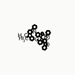 CC1(C)c2ccccc2-c2c1ccc1c3ccccc3n(-c3ccc4c(c3)Oc3ccccc3C43c4ccccc4P(=O)(c4ccccc4)c4cc5oc6ccccc6c5cc43)c21